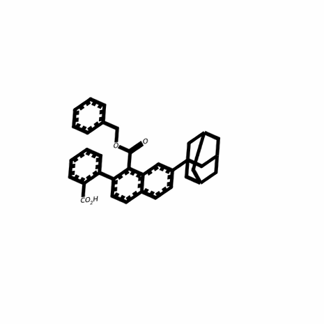 O=C(O)c1ccccc1-c1ccc2ccc(C34CC5CC(CC(C5)C3)C4)cc2c1C(=O)OCc1ccccc1